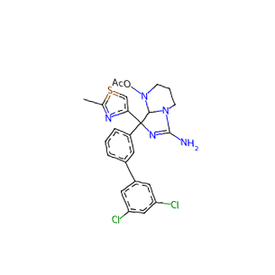 CC(=O)ON1CCCN2C(N)=NC(c3cccc(-c4cc(Cl)cc(Cl)c4)c3)(c3csc(C)n3)C12